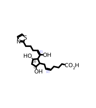 O=C(O)CCC/C=C\CC1C(/C(O)=C\CCCc2nccs2)[C@@H](O)C[C@@H]1O